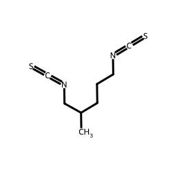 CC(CCCN=C=S)CN=C=S